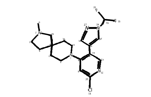 CN1CCC2(CCN(c3cc(Cl)ncc3-c3cnn(C(F)F)c3)CC2)C1